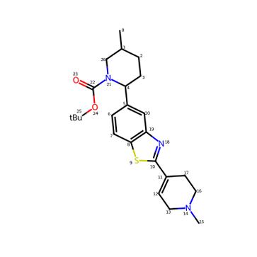 CC1CCC(c2ccc3sc(C4=CCN(C)CC4)nc3c2)N(C(=O)OC(C)(C)C)C1